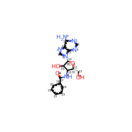 Nc1ncnc2c1ncn2[C@@H]1O[C@H](CO)C(NC(=O)c2ccccc2)C1O